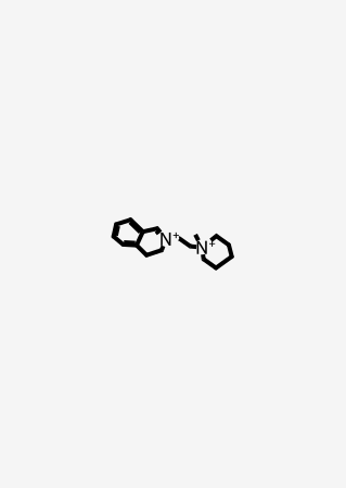 C[N+]1(CC[N+]2=Cc3ccccc3CC2)CCCCC1